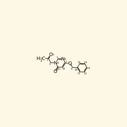 CC(=O)Cn1cnc(OCc2ccccc2)cc1=O